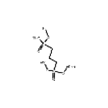 CCCCCOP(=O)(CCCP(=O)(OC)OCC)OCCC